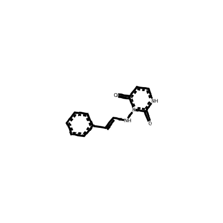 O=c1cc[nH]c(=O)n1NC=Cc1ccccc1